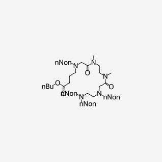 CCCCCCCCCN(CCCCCCCCC)CCN(CCCCCCCCC)CC(=O)N(C)CCN(C)C(=O)CN(CCCCCCCCC)CCCC(=O)OCCCC